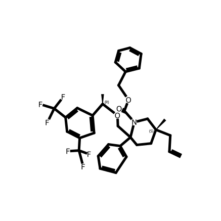 C=CC[C@]1(C)CCC(CO[C@H](C)c2cc(C(F)(F)F)cc(C(F)(F)F)c2)(c2ccccc2)N(C(=O)OCc2ccccc2)C1